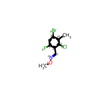 CON=Cc1c(F)cc(Br)c(C)c1Cl